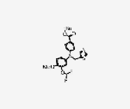 COc1ccc(N(Cc2cncs2)c2ccc(C(=O)OC(C)(C)C)cc2)cc1OC(F)F